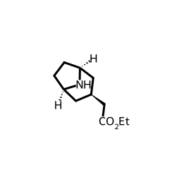 CCOC(=O)C[C@H]1C[C@H]2CC[C@@H](C1)N2